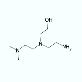 CN(C)CCN(CCN)CCO